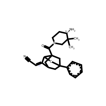 CC1(C)CN(C(=O)C23CC4CC(c5ccccc5)(CC2/C4=C\C#N)C3)CC[C@@H]1N